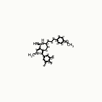 CN/C=C1\C(=C\c2cc(F)c(F)c(F)c2)CCC(CCCc2ccc(OC)cc2)NS1=N